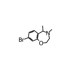 CC1c2ccc(Br)cc2OCCN1C